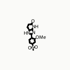 COc1cc(S(C)(=O)=O)ccc1-c1nc2[nH]c(=O)ccc2[nH]1